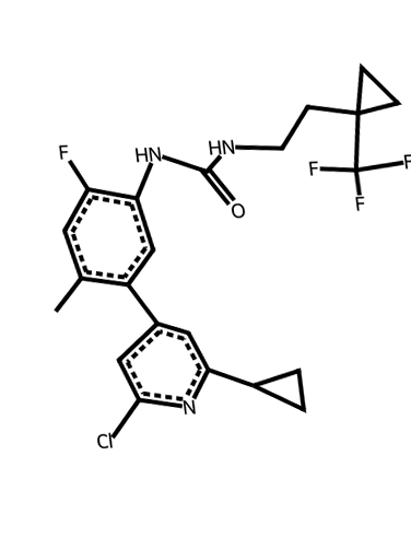 Cc1cc(F)c(NC(=O)NCCC2(C(F)(F)F)CC2)cc1-c1cc(Cl)nc(C2CC2)c1